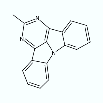 Cc1nc2c3ccccc3n3c4ccccc4c(n1)c23